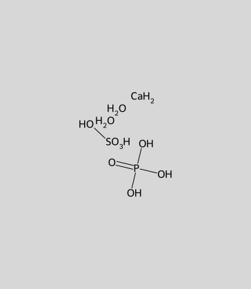 O.O.O=P(O)(O)O.O=S(=O)(O)O.[CaH2]